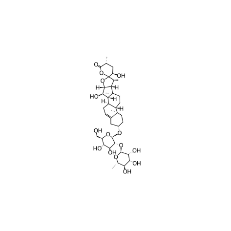 C[C@@H]1C[C@@H](O)C2(OC1=O)O[C@H]1[C@H](O)[C@H]3[C@@H]4CC=C5C[C@@H](O[C@@H]6O[C@H](CO)[C@@H](O)[C@H](O)[C@H]6O[C@@H]6O[C@@H](C)[C@H](O)[C@@H](O)[C@H]6O)CC[C@]5(C)[C@H]4CC[C@]3(C)[C@H]1[C@@H]2C